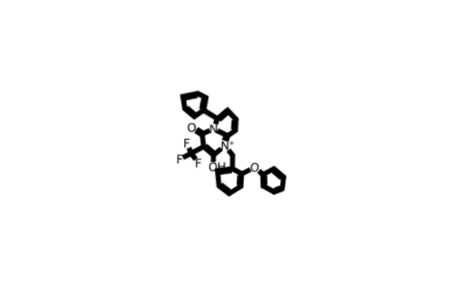 O=c1c(C(F)(F)F)c(O)[n+](Cc2ccccc2Oc2ccccc2)c2cccc(-c3ccccc3)n12